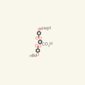 CCCCCCCOc1ccc(C(=O)Oc2ccc(OC(=O)c3ccc(OCCCC)cc3)c(C(=O)O)c2)cc1